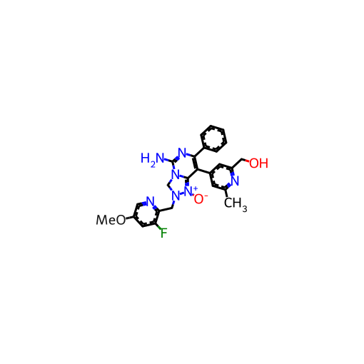 COc1cnc(CN2CN3C(N)=NC(c4ccccc4)=C(c4cc(C)nc(CO)c4)C3=[N+]2[O-])c(F)c1